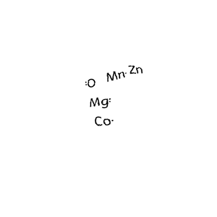 [Co].[Mg].[Mn].[O].[Zn]